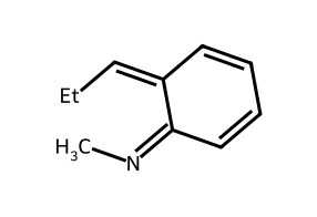 CC/C=C1/C=CC=C/C1=N/C